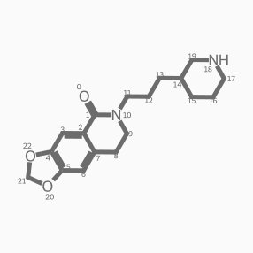 O=C1c2cc3c(cc2CCN1CCCC1CCCNC1)OCO3